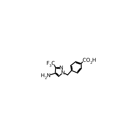 Nc1cn(Cc2ccc(C(=O)O)cc2)nc1C(F)(F)F